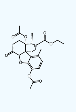 CCOC(=O)N1CC[C@]23c4c(C)ccc(OC(C)=O)c4OC2C(=O)CC[C@@]3(OC(C)=O)[C@H]1C